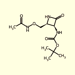 CC(=O)NOC[C@H]1NC(=O)[C@H]1NC(=O)OC(C)(C)C